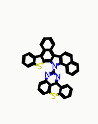 c1ccc2c(c1)Sc1cccc3nc(-n4c5c6ccccc6ccc5c5c6ccccc6c6c7ccccc7sc6c54)nc-2c13